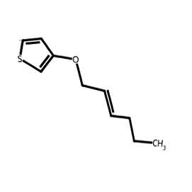 CCC/C=C/COc1c[c]sc1